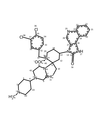 CN1CCC(N2CCN(C3(CC=O)CC(n4c(=O)[nH]c5c6ccccc6ncc54)CC[N@+]3(Cc3ccc(Cl)c(Cl)c3)C(=O)[O-])CC2)CC1